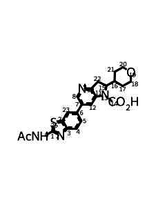 CC(=O)Nc1nc2ccc(-c3cnc4c(c3)N(C(=O)O)C(C3CCOCC3)C4)cc2s1